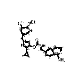 CCOc1ncc(Cn2cc(OC(=O)NCc3ccc4c(N)nccc4c3)c(C3CC3)n2)cc1Cl